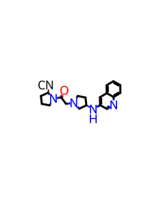 N#C[C@@H]1CCCN1C(=O)CN1CC[C@@H](Nc2cnc3ccccc3c2)C1